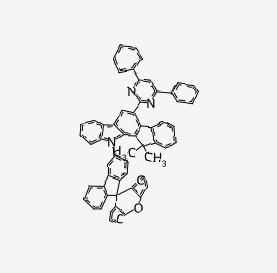 CC1(C)c2ccccc2-c2c(-c3nc(-c4ccccc4)cc(-c4ccccc4)n3)cc3c4ccccc4n(-c4ccc5c(c4)-c4ccccc4C54c5ccccc5Oc5ccccc54)c3c21